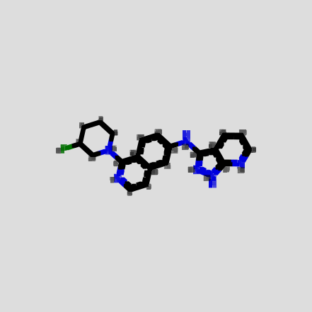 FC1CCCN(c2nccc3cc(Nc4n[nH]c5ncccc45)ccc23)C1